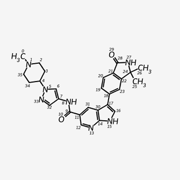 CN1CCC(n2cc(NC(=O)c3cnc4[nH]cc(-c5ccc6c(c5)C(C)(C)NC6=O)c4c3)cn2)CC1